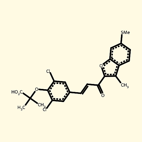 CSc1ccc2c(C)c(C(=O)C=Cc3cc(Cl)c(OC(C)(C)C(=O)O)c(Cl)c3)oc2c1